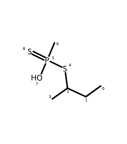 CCC(C)SP(C)(O)=S